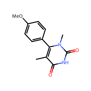 COc1ccc(-c2c(C)c(=O)[nH]c(=O)n2C)cc1